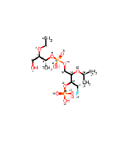 BCOC(CO)[C@@H](C)OP(=O)(O)OCC(O[C@@H](B)C)C(CF)OP(=O)(O)O